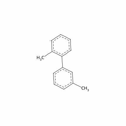 Cc1cccc(-c2ccc[c]c2C)c1